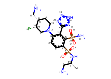 C[C@H](CN)NS(=O)(=O)c1ccc(N2CC[C@@H](CN)[C@@H](F)C2)c(-c2nn[nH]n2)c1S(N)(=O)=O